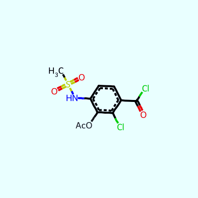 CC(=O)Oc1c(NS(C)(=O)=O)ccc(C(=O)Cl)c1Cl